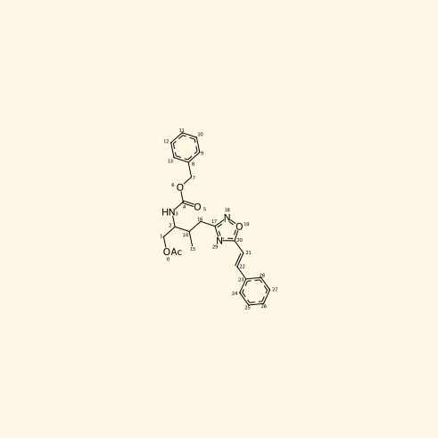 CC(=O)OCC(NC(=O)OCc1ccccc1)C(C)Cc1noc(C=Cc2ccccc2)n1